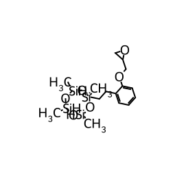 C[SiH]1O[SiH](C)O[Si](C)(CCc2ccccc2OCC2CO2)O[SiH](C)O1